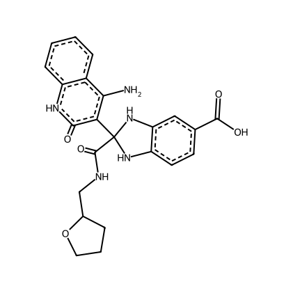 Nc1c(C2(C(=O)NCC3CCCO3)Nc3ccc(C(=O)O)cc3N2)c(=O)[nH]c2ccccc12